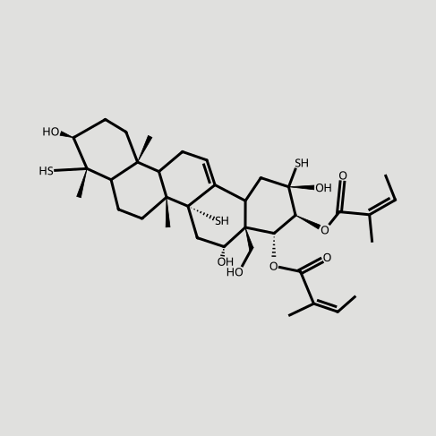 C/C=C(/C)C(=O)O[C@H]1[C@H](OC(=O)/C(C)=C\C)[C@@](O)(S)CC2C3=CCC4[C@@]5(C)CC[C@H](O)[C@@](C)(S)C5CC[C@@]4(C)[C@]3(S)C[C@@H](O)[C@]21CO